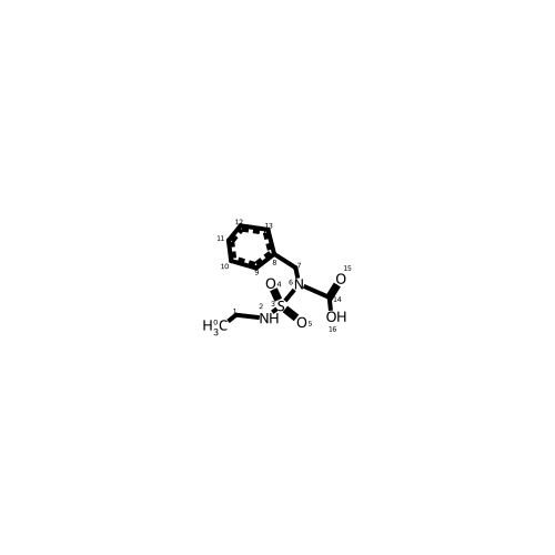 CCNS(=O)(=O)N(Cc1ccccc1)C(=O)O